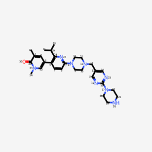 Cc1cc(-c2ccc(N3CCN(Cc4cnc(N5CCNCC5)nc4)CC3)nc2C(C)C)cn(C)c1=O